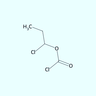 CCC(Cl)OC(=O)Cl